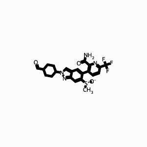 C[S+]([O-])c1cc2nn(C3CCC(C=O)CC3)cc2cc1-c1ccc(C(F)(F)F)nc1C(N)=O